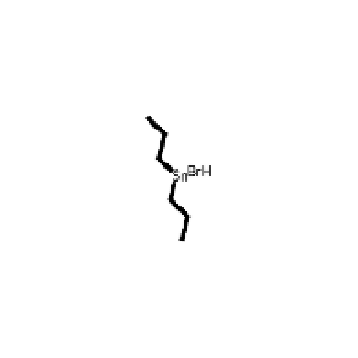 Br.CC[CH2][Sn][CH2]CC